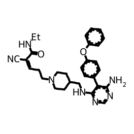 CCNC(=O)/C(C#N)=C\CCN1CCC(CNc2ncnc(N)c2-c2ccc(Oc3ccccc3)cc2)CC1